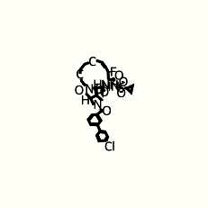 O=C(NS(=O)(=O)C1CC1)C1NC(=O)[C@@H]2[C@H]3CN(C(=O)c4cccc(-c5ccc(Cl)cc5)c4)C[C@H]3CN2C(=O)CCCCCC/C=C\[C@@H]1F